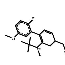 COc1ccc(F)c(C2=C([C@@H](C)C(C)(C)C)CC(CO)C=C2)c1